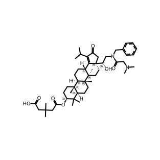 CC(C)C1=C2[C@H]3CC[C@@H]4[C@@]5(C)CC[C@H](OC(=O)CC(C)(C)CC(=O)O)C(C)(C)[C@@H]5CC[C@@]4(C)[C@]3(C)CC[C@@]2([C@@H](O)CN(Cc2ccccc2)C(=O)CN(C)C)CC1=O